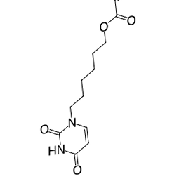 C=CC(=O)OCCCCCCn1ccc(=O)[nH]c1=O